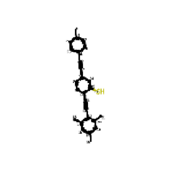 Cc1ccc(C#Cc2ccc(C#Cc3c(C)cc(C)cc3C)c(S)c2)cc1